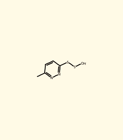 Cc1ccc(SSO)nn1